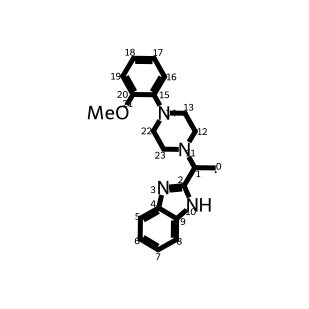 [CH2]C(c1nc2ccccc2[nH]1)N1CCN(c2ccccc2OC)CC1